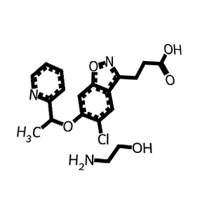 CC(Oc1cc2onc(CCC(=O)O)c2cc1Cl)c1ccccn1.NCCO